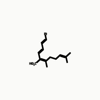 CCC=CC=C/C(C(=O)O)=C(/C)CCC=C(C)C